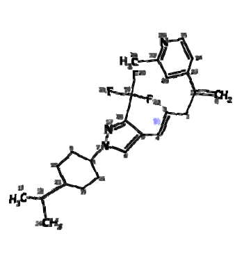 C=C(C/C=C/c1cn(C2CCC(C(C)C)CC2)nc1C(F)(F)F)c1ccnc(C)c1